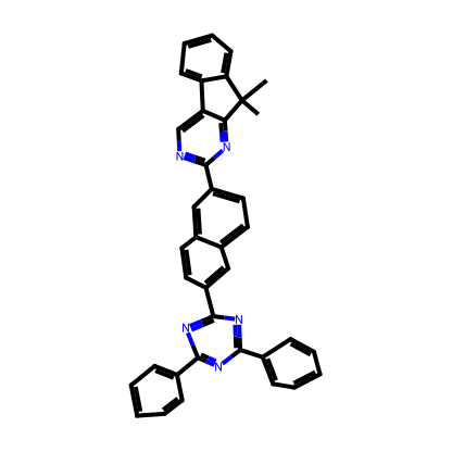 CC1(C)c2ccccc2-c2cnc(-c3ccc4cc(-c5nc(-c6ccccc6)nc(-c6ccccc6)n5)ccc4c3)nc21